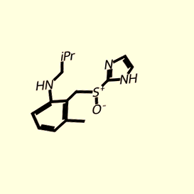 Cc1cccc(NCC(C)C)c1C[S+]([O-])c1ncc[nH]1